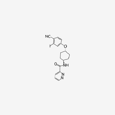 N#Cc1ccc(O[C@H]2CC[C@H](NC(=O)c3cccnn3)CC2)cc1I